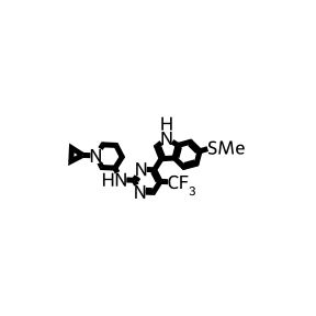 CSc1ccc2c(-c3nc(NC4CCCN(C5CC5)C4)ncc3C(F)(F)F)c[nH]c2c1